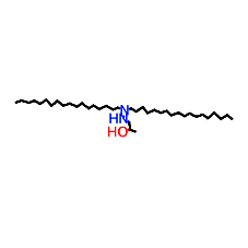 CCCCCCCCCCCCCCCCCCN(CCCCCCCCCCCCCCCCCC)NCC(C)O